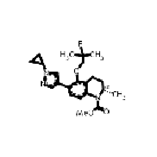 COC(=O)N1c2ccc(-c3cnn(C4CC4)c3)c(OCC(C)(C)F)c2CC[C@@H]1C